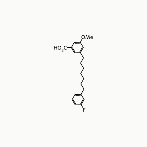 COc1cc(CCCCCCCc2cccc(F)c2)cc(C(=O)O)c1